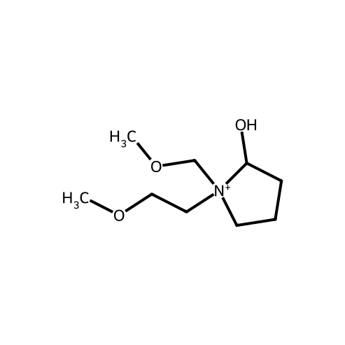 COCC[N+]1(COC)CCCC1O